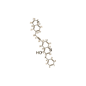 Oc1c(Cc2ccccc2)cnc2ccc(C#CCc3ccc4sccc4c3)cc12